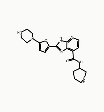 O=C(NC1CCCNC1)c1ccnc2[nH]c(-c3ccc(N4CCNCC4)o3)nc12